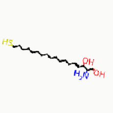 N[C@@H](CO)[C@H](O)/C=C/CCCCCCCCCCCCCS